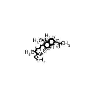 CC[C@H]1[C@H](CCCC(C)C(=O)OC)C(=O)C[C@@H]2C[C@H](OC(C)=O)CC[C@@]21C